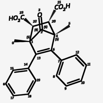 C[C@@]12C(=O)[C@](C)(C(c3ccccc3)=C1c1ccccc1)[C@@H](C(=O)O)[C@H]2C(=O)O